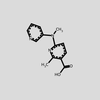 Cc1nc(N(C)c2cccnc2)ccc1C(=O)O